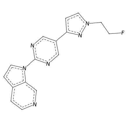 FCCn1ccc(-c2cnc(-n3ccc4ccncc43)nc2)n1